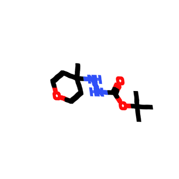 CC1(NNC(=O)OC(C)(C)C)CCOCC1